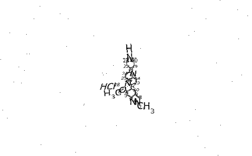 COc1cc2nn(C)cc2cc1-c1ccc2nc(C3CCNCC3)ccc2n1.Cl